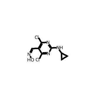 O/N=C\c1c(Cl)nc(NC2CC2)nc1Cl